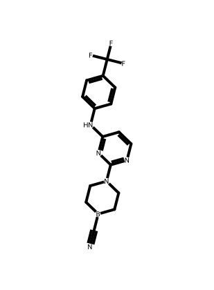 N#CB1CCN(c2nccc(Nc3ccc(C(F)(F)F)cc3)n2)CC1